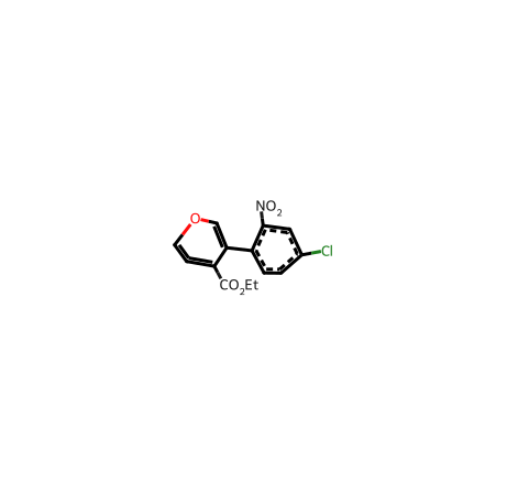 CCOC(=O)C1=C=COC=C1c1ccc(Cl)cc1[N+](=O)[O-]